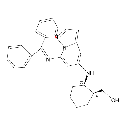 OC[C@H]1CCCC[C@H]1Nc1cc(N=C(c2ccccc2)c2ccccc2)n2nccc2c1